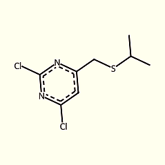 CC(C)SCc1cc(Cl)nc(Cl)n1